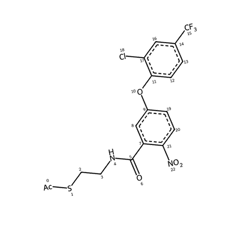 CC(=O)SCCNC(=O)c1cc(Oc2ccc(C(F)(F)F)cc2Cl)ccc1[N+](=O)[O-]